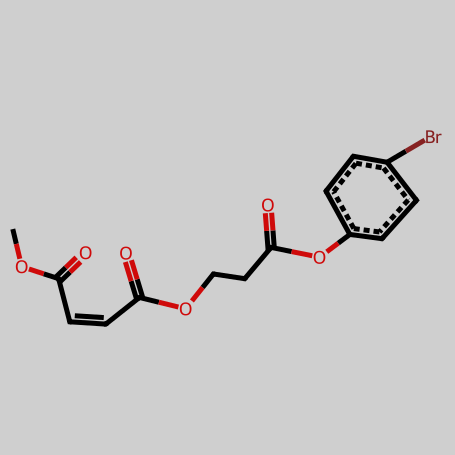 COC(=O)/C=C\C(=O)OCCC(=O)Oc1ccc(Br)cc1